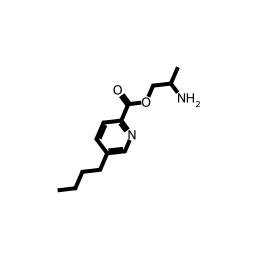 CCCCc1ccc(C(=O)OCC(C)N)nc1